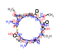 C=CCOC(=O)NCCC[C@@H]1NC(=O)[C@H](CCCCC)N(C)C(=O)[C@H](CCCC)N(C)C(=O)[C@H](Cc2csc3ccccc23)NC(=O)[C@H](CCNC(=O)OCC=C)NC(=O)[C@H](Cc2c[nH]c3ccccc23)NC(=O)[C@@H]2C[C@@H](O)CN2C(=O)[C@H](CCC(=O)O)NC(=O)[C@H](Cc2cnc[nH]2)NC(=O)[C@@H]2CCCN2C(=O)[C@H](CCCN)NC(=O)[C@H](C)N(C)C(=O)[C@H](Cc2ccc(O)cc2)NC(=O)CSC[C@@H](C(=O)NCC(N)=O)NC1=O